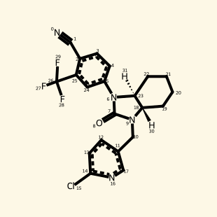 N#Cc1ccc(N2C(=O)N(Cc3ccc(Cl)nc3)[C@H]3CCCC[C@@H]32)cc1C(F)(F)F